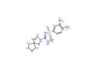 CCN/C(=N\S(=O)(=O)c1ccc(N)c(N)c1)N1CC2(C=N1)CCCC2